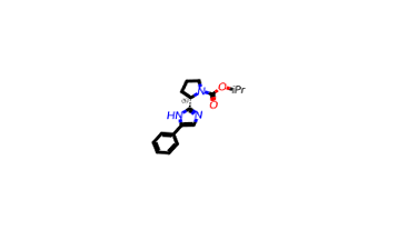 CC(C)OC(=O)N1CCC[C@H]1c1ncc(-c2ccccc2)[nH]1